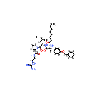 CCCCCCCC(=O)N[C@@H](Cc1ccc(OCc2ccccc2)cc1)C(=O)N[C@@H](CC(C)C)C(=O)N1CCC[C@H]1C(=O)NCCNC(=N)N